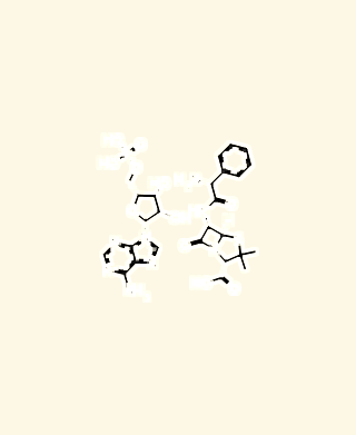 CC1(C)S[C@@H]2[C@H](NC(=O)[C@H](N)c3ccccc3)C(=O)N2[C@H]1C(=O)O.Nc1ncnc2c1ncn2[C@@H]1O[C@H](COP(=O)(O)O)[C@@H](O)[C@H]1O